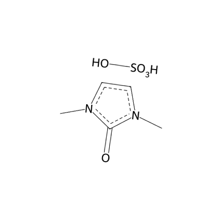 Cn1ccn(C)c1=O.O=S(=O)(O)O